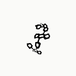 c1ccc(-c2nc3ccccc3n2-c2ccc(-c3c4ccccc4c(-c4ccc5ccc6oc7ccccc7c6c5c4)c4ccccc34)cc2)cc1